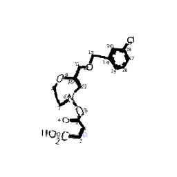 O=C(O)/C=C\C(=O)ON1CCOC(COCc2cccc(Cl)c2)C1